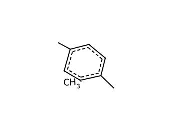 Cc1ccc(C)cc1.[CH3]